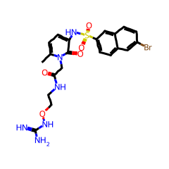 Cc1ccc(NS(=O)(=O)c2ccc3cc(Br)ccc3c2)c(=O)n1CC(=O)NCCONC(=N)N